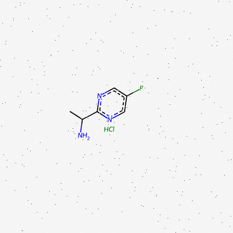 CC(N)c1ncc(F)cn1.Cl